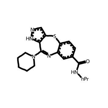 CCCNC(=O)c1ccc2c(c1)N=C(N1CCCCC1)c1[nH]ncc1S2